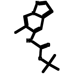 Cc1cn2nccc2cc1NC(=O)OC(C)(C)C